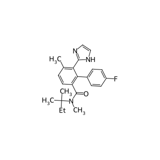 CCC(C)(C)N(C)C(=O)c1ccc(C)c(-c2ncc[nH]2)c1-c1ccc(F)cc1